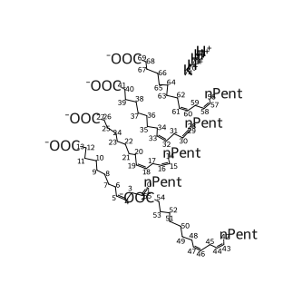 CCCCC/C=C\C/C=C\CCCCCCCC(=O)[O-].CCCCC/C=C\C/C=C\CCCCCCCC(=O)[O-].CCCCC/C=C\C/C=C\CCCCCCCC(=O)[O-].CCCCC/C=C\C/C=C\CCCCCCCC(=O)[O-].CCCCC/C=C\C/C=C\CCCCCCCC(=O)[O-].[H+].[H+].[H+].[H+].[K+]